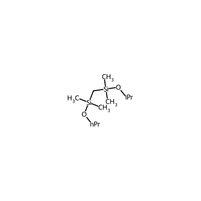 CCCO[Si](C)(C)C[Si](C)(C)OC(C)C